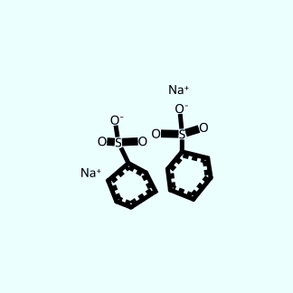 O=S(=O)([O-])c1ccccc1.O=S(=O)([O-])c1ccccc1.[Na+].[Na+]